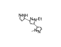 CCn1nc(-c2ccn[nH]2)cc1-c1ccnn1C